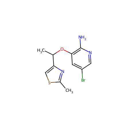 Cc1nc(C(C)Oc2cc(Br)cnc2N)cs1